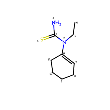 CCN(C(N)=S)C1=CCCCC1